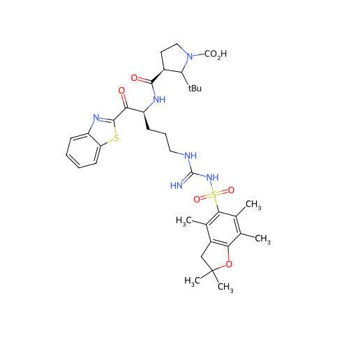 Cc1c(C)c(S(=O)(=O)NC(=N)NCCC[C@H](NC(=O)[C@H]2CCN(C(=O)O)C2C(C)(C)C)C(=O)c2nc3ccccc3s2)c(C)c2c1OC(C)(C)C2